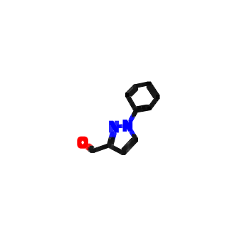 O=Cc1ccn(-c2ccccc2)n1